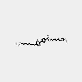 CCCCCCCCCc1cnc(-c2ccc(C(=O)OCCCCCCC)cc2)nc1